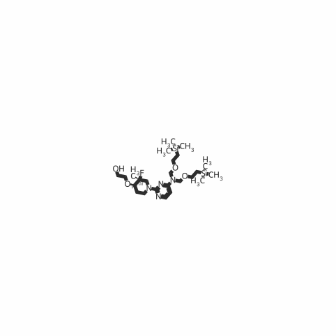 C[C@]1(F)CN(c2nccc(N(COCC[Si](C)(C)C)COCC[Si](C)(C)C)n2)CC[C@H]1OCCO